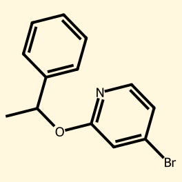 CC(Oc1cc(Br)ccn1)c1ccccc1